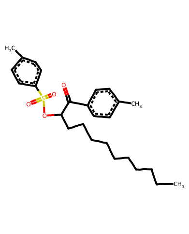 CCCCCCCCCCC(OS(=O)(=O)c1ccc(C)cc1)C(=O)c1ccc(C)cc1